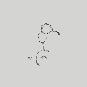 CC(C)(C)OC(=O)N1CCc2nccc(Br)c2C1